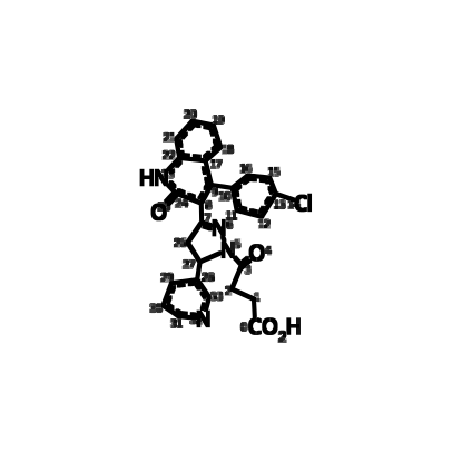 O=C(O)CCC(=O)N1N=C(c2c(-c3ccc(Cl)cc3)c3ccccc3[nH]c2=O)CC1c1cccnc1